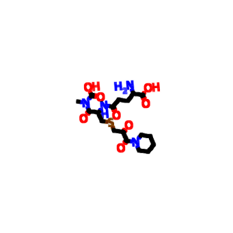 CN(C(=O)O)C(=O)C(CSCC(=O)C(=O)N1CCCCC1)NC(=O)CCC(N)C(=O)O